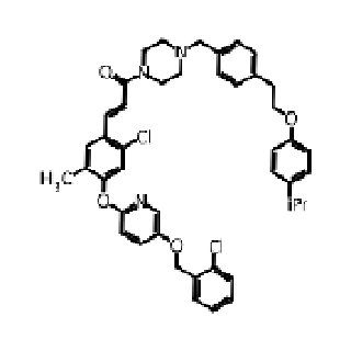 Cc1cc(C=CC(=O)N2CCN(Cc3ccc(CCOc4ccc(C(C)C)cc4)cc3)CC2)c(Cl)cc1Oc1ccc(OCc2ccccc2Cl)cn1